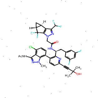 CC(=O)Nc1nn(C)c2c(-c3ccc(C#CC(C)(C)O)nc3[C@H](Cc3cc(F)cc(F)c3)NC(=O)Cn3nc(C(F)F)c4c3C(F)(F)[C@@H]3C[C@@H]43)ccc(Cl)c12